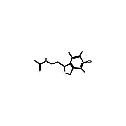 CC(=O)NCCC1OCc2c(C)c(O)c(C)c(C)c21